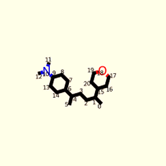 CC(CCC(C)C1CCC(N(C)C)CC1)C1CCOCC1